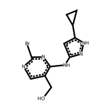 OCc1cnc(Br)nc1Nc1cc(C2CC2)[nH]n1